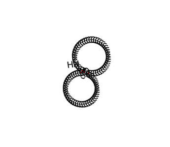 c1ccc(CN2CCCNCCCCCCCCCCCCCCCCCCCCCCCCCCCCCCCCCCCCCCCCC3(CCCCCCCCCCCCCCCCCCCCCCCCCCCCCCCCCCCCCCCCCCCCCC34OCCO4)C2)cc1